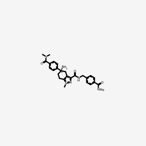 CNC(=O)c1ccc(CNC(=O)c2nn(C)c3c2C[C@@](N)(c2ccc(C(=O)N(C)C)cc2)CC3)cc1